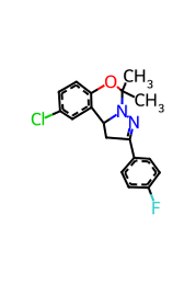 CC1(C)Oc2ccc(Cl)cc2C2CC(c3ccc(F)cc3)=NN21